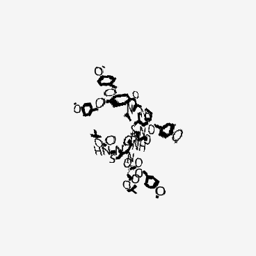 CCn1cc(C[N+]2(CC3=C(C(=O)OCc4ccc(OC)cc4)N4C(=O)[C@@H](NC(=O)C(=NO[C@@H](CC(=O)OC(C)(C)C)C(=O)OCc5ccc(OC)cc5)c5csc(NC(=O)OC(C)(C)C)n5)[C@H]4SC3)CCCC2)c(=O)c2cc(OCc3ccc(OC)cc3)c(OCc3ccc(OC)cc3)cc21